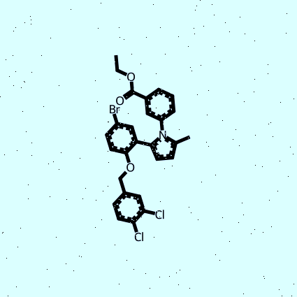 CCOC(=O)c1cccc(-n2c(C)ccc2-c2cc(Br)ccc2OCc2ccc(Cl)c(Cl)c2)c1